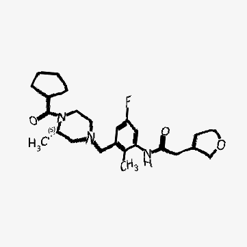 Cc1c(CN2CCN(C(=O)C3CCCC3)[C@@H](C)C2)cc(F)cc1NC(=O)CC1CCOC1